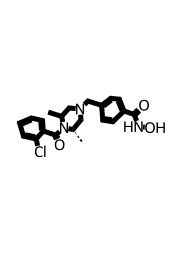 CC1CN(Cc2ccc(C(=O)NO)cc2)C[C@H](C)N1C(=O)c1ccccc1Cl